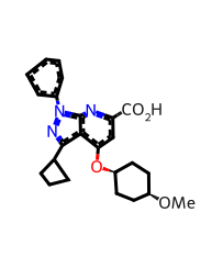 CO[C@H]1CC[C@@H](Oc2cc(C(=O)O)nc3c2c(C2CCC2)nn3-c2ccccc2)CC1